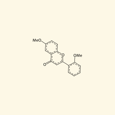 COc1ccc2oc(-c3ccccc3OC)cc(=O)c2c1